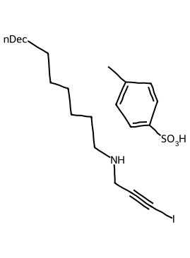 CCCCCCCCCCCCCCCCNCC#CI.Cc1ccc(S(=O)(=O)O)cc1